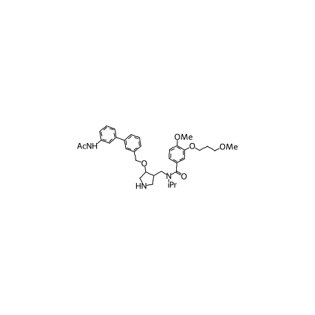 COCCCOc1cc(C(=O)N(CC2CNCC2OCc2cccc(-c3cccc(NC(C)=O)c3)c2)C(C)C)ccc1OC